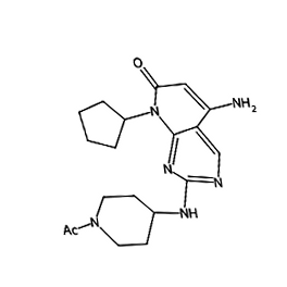 CC(=O)N1CCC(Nc2ncc3c(N)cc(=O)n(C4CCCC4)c3n2)CC1